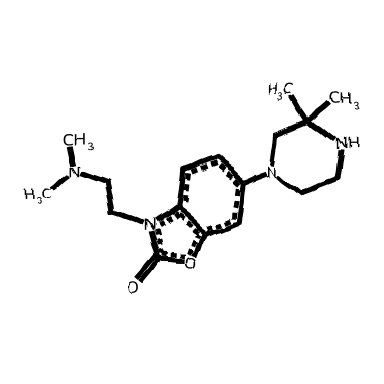 CN(C)CCn1c(=O)oc2cc(N3CCNC(C)(C)C3)ccc21